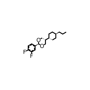 CCC[C@H]1CC[C@H]([C@H]2CO[C@H](c3ccc(F)c(F)c3)OC2)CC1